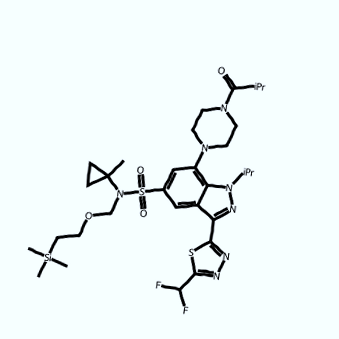 CC(C)C(=O)N1CCN(c2cc(S(=O)(=O)N(COCC[Si](C)(C)C)C3(C)CC3)cc3c(-c4nnc(C(F)F)s4)nn(C(C)C)c23)CC1